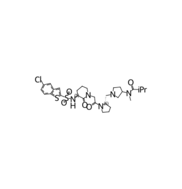 CC(C)C(=O)N(C)C1CCN(C[C@@H]2CCCN2C(=O)CN2CCC[C@H](NS(=O)(=O)c3cc4cc(Cl)ccc4s3)C2=O)C1